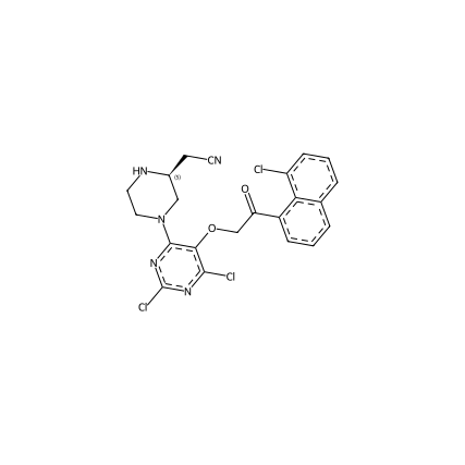 N#CC[C@H]1CN(c2nc(Cl)nc(Cl)c2OCC(=O)c2cccc3cccc(Cl)c23)CCN1